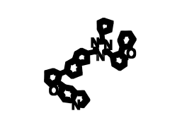 c1ccc(-c2nc(-c3ccc4cc(-c5cccc6oc7cc8ncccc8cc7c56)ccc4c3)nc(-c3cccc4oc5ccccc5c34)n2)cc1